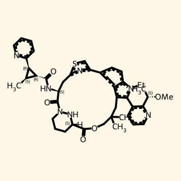 CCn1c(-c2cccnc2[C@H](C)OC)c2c3cc(ccc31)-c1csc(n1)C[C@H](NC(=O)[C@@H]1[C@@H](C)[C@H]1c1ccccn1)C(=O)N1CCC[C@H](N1)C(=O)OCC(C)(C)C2